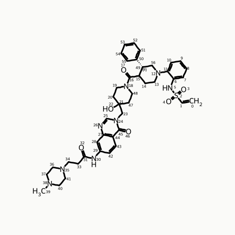 C=CS(=O)(=O)Nc1ccccc1N1CCC(C(=O)N2CCC(O)(Cn3cnc4cc(NC(=O)CCN5CCN(C)CC5)ccc4c3=O)CC2)[C@H](c2ccccc2)C1